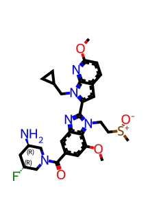 COc1ccc2cc(-c3nc4cc(C(=O)N5C[C@H](N)C[C@@H](F)C5)cc(OC)c4n3CC[S+](C)[O-])n(CC3CC3)c2n1